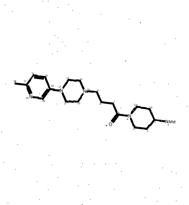 CNC1CCN(C(=O)CCCN2CCN(c3ccc(C)nc3)CC2)CC1